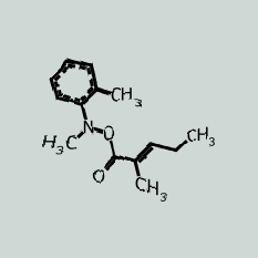 CCC=C(C)C(=O)ON(C)c1ccccc1C